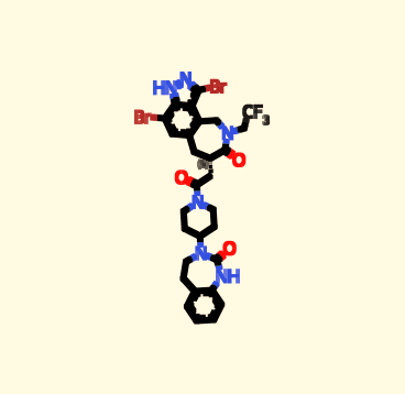 O=C(C[C@@H]1Cc2cc(Br)c3[nH]nc(Br)c3c2CN(CC(F)(F)F)C1=O)N1CCC(N2CCc3ccccc3NC2=O)CC1